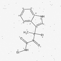 CCNC(=O)C(=O)C(C)(CC)c1c[nH]c2ccccc12